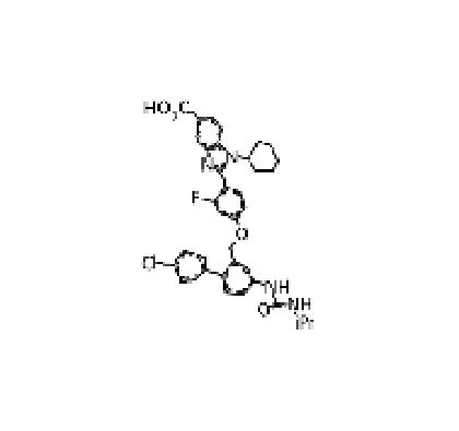 CC(C)NC(=O)Nc1ccc(-c2ccc(Cl)cc2)c(COc2ccc(-c3nc4cc(C(=O)O)ccc4n3C3CCCCC3)c(F)c2)c1